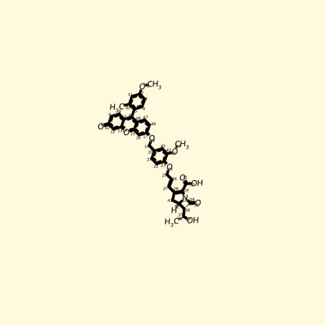 COc1ccc(-c2c3ccc(=O)cc-3oc3cc(OCc4ccc(OC/C=C/C5=C(C(=O)O)N6C(=O)[C@H]([C@@H](C)O)[C@H]6C5)c(OC)c4)ccc23)c(C)c1